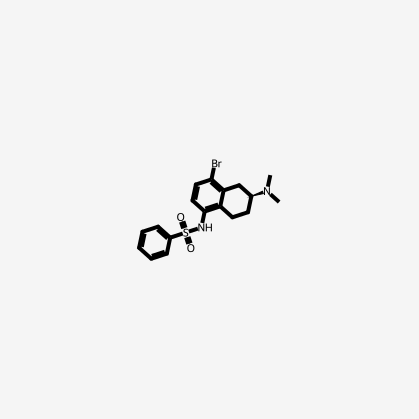 CN(C)[C@H]1CCc2c(NS(=O)(=O)c3ccccc3)ccc(Br)c2C1